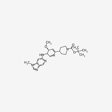 CO[C@H]1C=C(C2CCN(C(=O)OC(C)(C)C)CC2)N=CC1Nc1cc2c(cn1)ncn2C